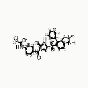 CC1Cc2c(ccc(S(=O)(=O)c3cn(C(=O)c4ccc(NC(=O)CCl)cc4)c(=O)[nH]3)c2-c2ccccc2)N1